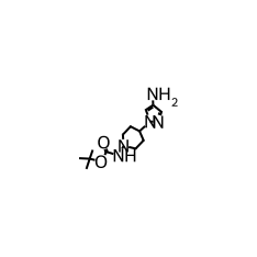 CC(C)(C)OC(=O)NN1CCC(n2cc(N)cn2)CC1